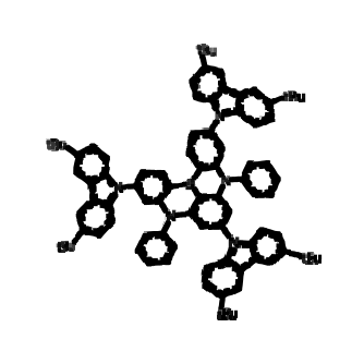 CC(C)(C)c1ccc2c(c1)c1cc(C(C)(C)C)ccc1n2-c1ccc2c(c1)N(c1ccccc1)c1cc(-n3c4ccc(C(C)(C)C)cc4c4cc(C(C)(C)C)ccc43)cc3c1B2c1ccc(-n2c4ccc(C(C)(C)C)cc4c4cc(C(C)(C)C)ccc42)cc1N3c1ccccc1